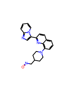 O=NCC1CCN(c2cccc3ccc(-c4cnc5ccccn45)nc23)CC1